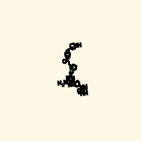 [2H]C([2H])([2H])C(=O)Nc1ccc(-c2nc(SCc3cccc(CCC(=O)N4CCN(CC5CCNCC5)CC4)n3)nc(N)c2[N+]#[C-])cc1